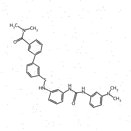 CN(C)C(=O)c1cccc(-c2cccc(SNc3cccc(NC(=O)Nc4cccc(N(C)C)c4)c3)c2)c1